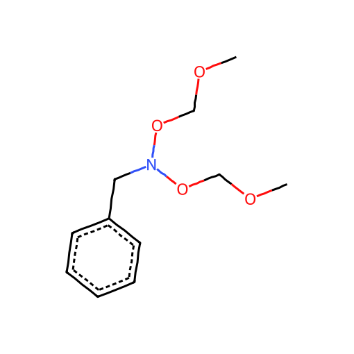 COCON(Cc1ccccc1)OCOC